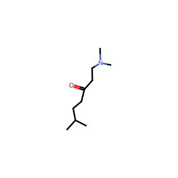 CC(C)CCC(=O)CCN(C)C